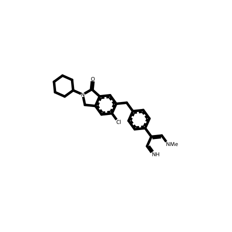 CN/C=C(\C=N)c1ccc(Cc2cc3c(cc2Cl)CN(C2CCCCC2)C3=O)cc1